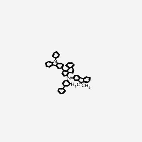 CC1(C)c2ccccc2-c2ccc(N(c3ccc(-c4ccccc4)cc3)c3ccc(-c4ccc5c(c4)c4ccccc4n5-c4ccccc4)c4c3ccc3ccccc34)cc21